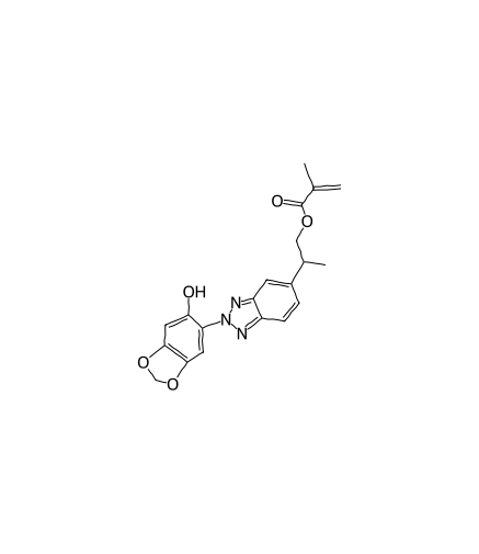 C=C(C)C(=O)OCC(C)c1ccc2nn(-c3cc4c(cc3O)OCO4)nc2c1